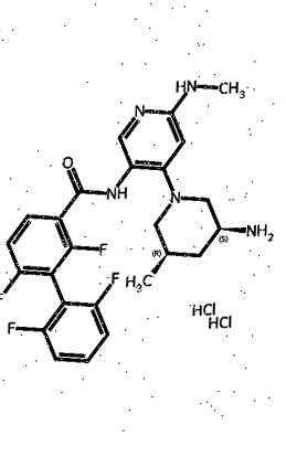 CNc1cc(N2C[C@H](C)C[C@H](N)C2)c(NC(=O)c2ccc(F)c(-c3c(F)cccc3F)c2F)cn1.Cl.Cl